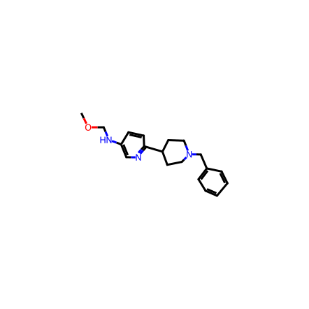 COCNc1ccc(C2CCN(Cc3ccccc3)CC2)nc1